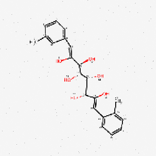 Cc1cccc(C=C(O)[C@@H](O)[C@@H](O)[C@H](O)[C@@H](O)C(O)=Cc2ccccc2C)c1